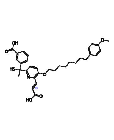 COc1ccc(CCCCCCCCOc2ccc(C(C)(S)c3cccc(C(=O)O)c3)nc2/C=C/C(=O)O)cc1